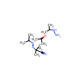 CC(C)/N=N/C(C)(C)C#N.CC(C)=O.CC(C)NN